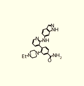 CCN1CCN(c2cc(C(N)=O)ccc2-c2cccnc2Nc2ccc3cn[nH]c3c2)CC1